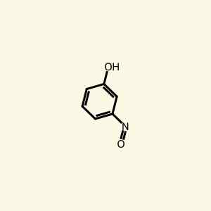 O=Nc1cccc(O)c1